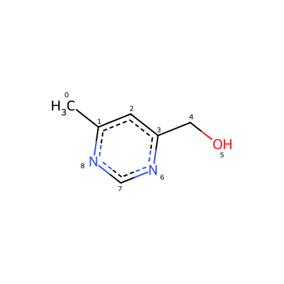 Cc1cc(CO)ncn1